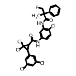 CC(CF)(C(=O)Nc1cc(NC(=O)C2C(c3cc(Cl)cc(Cl)c3)C2(Cl)Cl)ccc1Cl)c1ccccc1